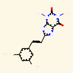 CCCn1c(=O)c2[nH]c(C=Cc3cc(OC)cc(OC)c3)nc2n(CCC)c1=O